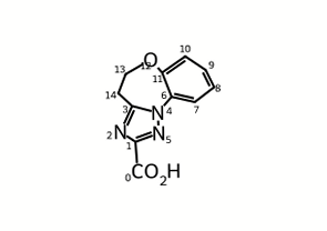 O=C(O)c1nc2n(n1)-c1ccccc1OCC2